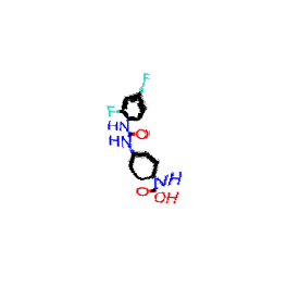 O=C(O)NC1CCC(NC(=O)Nc2ccc(F)cc2F)CC1